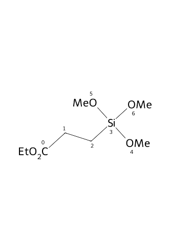 CCOC(=O)CC[Si](OC)(OC)OC